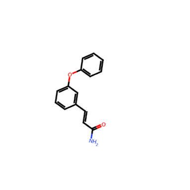 NC(=O)C=Cc1cccc(Oc2ccccc2)c1